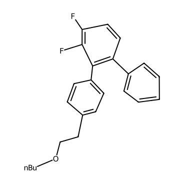 CCCCOCCc1ccc(-c2c(-c3ccccc3)ccc(F)c2F)cc1